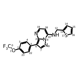 FC(F)(F)Oc1ccc(-c2cnn3c(NCc4cccs4)ccnc23)cc1